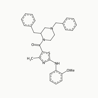 COc1ccccc1Nc1nc(C)c(C(=O)N2CCN(Cc3ccccc3)CC2Cc2ccccc2)s1